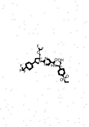 CCS(=O)(=O)c1ccc([C@H](CO)NC(=O)c2cnc(N3CC(c4ccc(C(F)(F)F)cc4)C[C@H]3COC(F)F)nc2)cc1